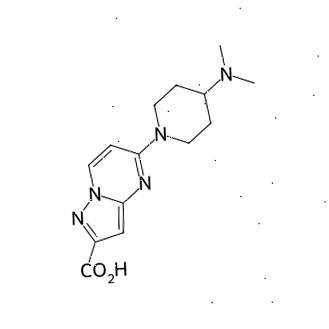 CN(C)C1CCN(c2ccn3nc(C(=O)O)cc3n2)CC1